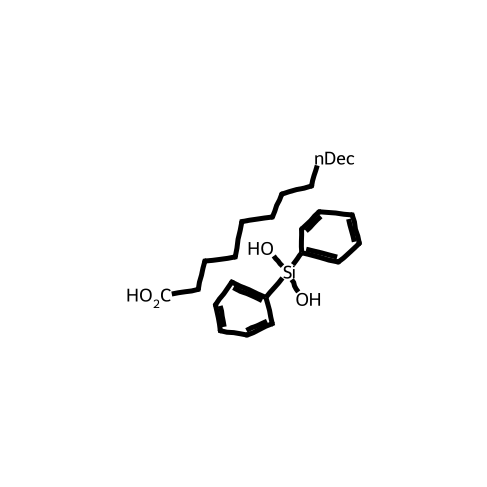 CCCCCCCCCCCCCCCCCC(=O)O.O[Si](O)(c1ccccc1)c1ccccc1